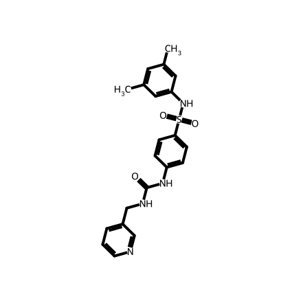 Cc1cc(C)cc(NS(=O)(=O)c2ccc(NC(=O)NCc3cccnc3)cc2)c1